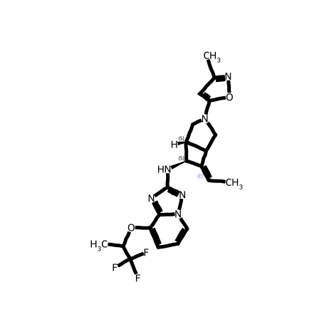 C/C=C1\C2CN(c3cc(C)no3)C[C@H]2[C@@H]1Nc1nc2c(OC(C)C(F)(F)F)cccn2n1